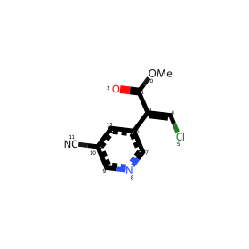 COC(=O)/C(=C/Cl)c1cncc(C#N)c1